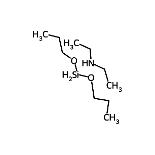 CCCO[SiH2]OCCC.CCNCC